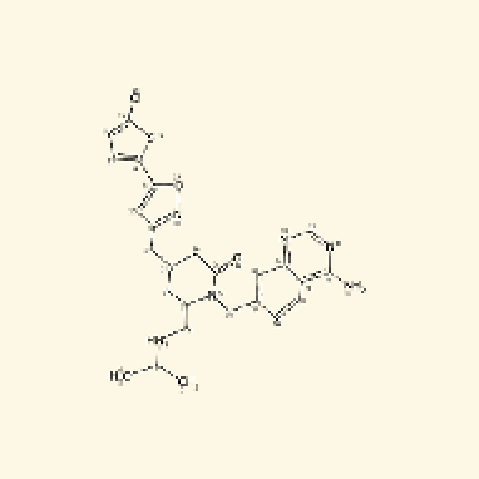 CC(C)NCC1CN(Cc2cc(-c3ccc(Cl)s3)on2)CC(=O)N1Cc1ccc2c(N)ncnc2c1